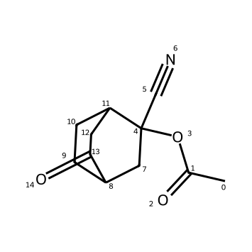 CC(=O)OC1(C#N)CC2CCC1CC2=O